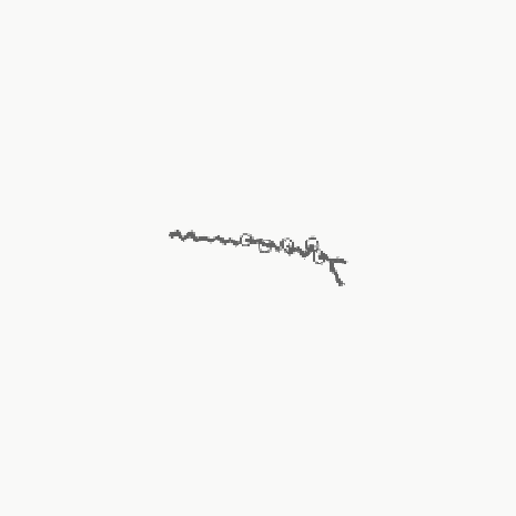 CCCCCCCCCCCOCCOCCOCCCC(=O)OCC(CC)CCCC